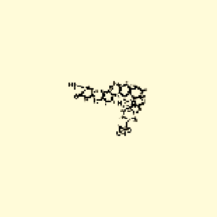 Cn1cnc(Oc2ccc(-c3cc4c(cc3F)ncc3ncn(C5(C)CCN(C(=O)CO)CC5)c34)c(Cl)c2)cc1=O